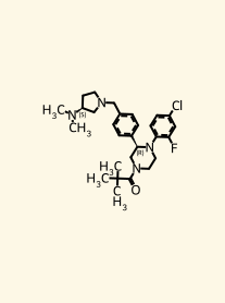 CN(C)[C@H]1CCN(Cc2ccc([C@@H]3CN(C(=O)C(C)(C)C)CCN3c3ccc(Cl)cc3F)cc2)C1